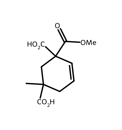 COC(=O)C1(C(=O)O)C=CCC(C)(C(=O)O)C1